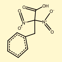 O=C(O)C(Cc1ccccc1)([N+](=O)[O-])[N+](=O)[O-]